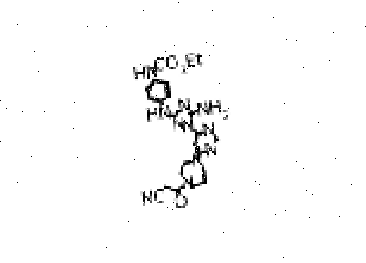 CCOC(=O)Nc1ccc(Nc2nc(N)n(-c3cc(N4CCCN(C(=O)CC#N)CC4)ncn3)n2)cc1